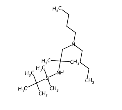 CCCCN(CCCC)CC(C)(C)N[Si](C)(C)C(C)(C)C